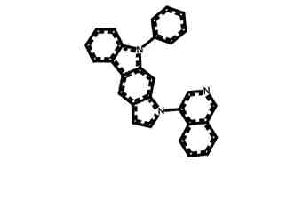 c1ccc(-n2c3ccccc3c3cc4ccn(-c5cncc6ccccc56)c4cc32)cc1